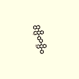 c1ccc(-c2c3ccccc3c(-c3ccc4cc(-c5c6ccccc6c(-c6cccc7ccccc67)c6ccncc56)ccc4c3)c3cnccc23)cc1